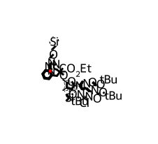 CCOC(=O)C(Cc1ccccc1)(OC[C@H]1O[C@@H](n2cnc3c(N(C(=O)OC(C)(C)C)C(=O)OC(C)(C)C)nc(Cl)nc32)[C@H](O[Si](C)(C)C(C)(C)C)[C@H]1C)c1nnn(COCC[Si](C)(C)C)n1